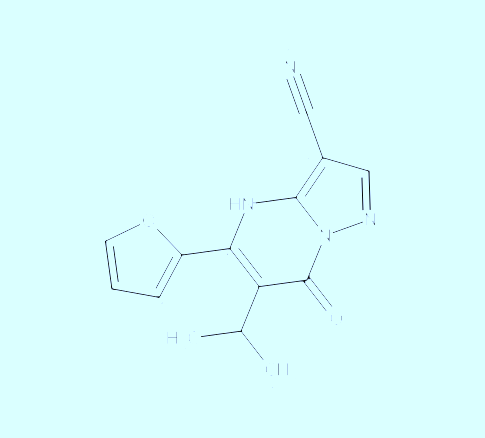 CC(C)c1c(-c2ccco2)[nH]c2c(C#N)cnn2c1=O